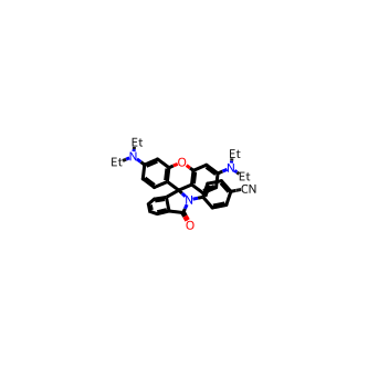 CCN(CC)c1ccc2c(c1)Oc1cc(N(CC)CC)ccc1C21c2ccccc2C(=O)N1c1ccc(C#N)cc1